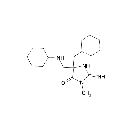 CN1C(=N)NC(CNC2CCCCC2)(CC2CCCCC2)C1=O